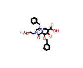 COCCN1C[C@H](Cc2ccccc2)n2cc(C(=O)O)c(=O)c(OCc3ccccc3)c2C1=O